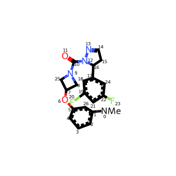 CNc1cccc(OC2CN(C(=O)N3N=CCC3c3cc(F)cc(F)c3)C2)c1